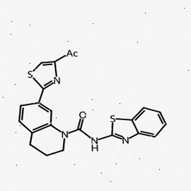 CC(=O)c1csc(-c2ccc3c(c2)N(C(=O)Nc2nc4ccccc4s2)CCC3)n1